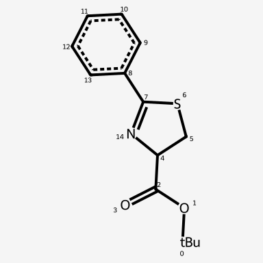 CC(C)(C)OC(=O)C1CSC(c2ccccc2)=N1